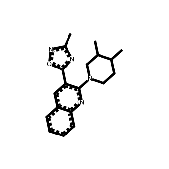 Cc1noc(-c2cc3ccccc3nc2N2CCC(C)C(C)C2)n1